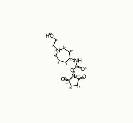 O=C(N[C@H]1CCCN(CCO)CC1)ON1C(=O)CCC1=O